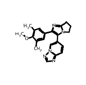 COc1c(C)cc(-c2nc3n(c2-c2ccc4ncnn4c2)CCC3)cc1C